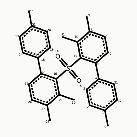 Cc1ccc(-c2ccc(C)c(C)c2S(=O)(=O)c2c(-c3ccc(C)cc3)ccc(C)c2C)cc1